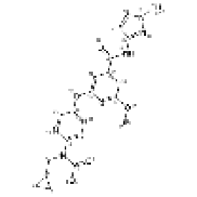 CCC(=O)N(CC1CC1)c1cnc(Oc2cc(OC(C)C)cc(C(=O)Nc3ccn(C)n3)c2)cn1